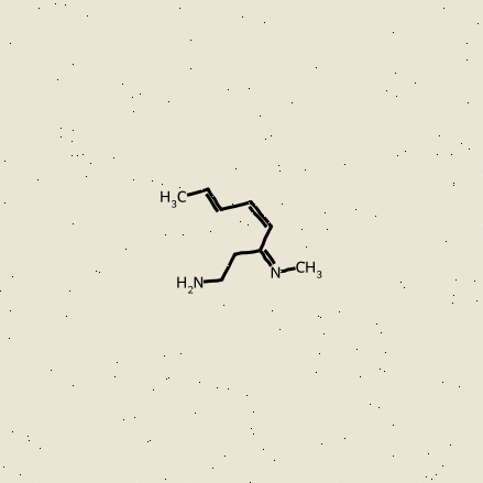 C/C=C/C=C\C(CCN)=N/C